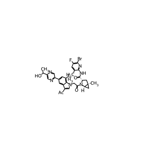 CC(=O)c1cn(CC(=O)N2[C@H](C(=O)Nc3nc(Br)c(F)cc3C)C[C@@]3(C)C[C@@H]23)c2c(C)cc(-c3cnc(C(C)O)cn3)cc12